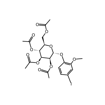 COc1cc(I)ccc1O[C@H]1O[C@H](COC(C)=O)[C@@H](OC(C)=O)[C@H](OC(C)=O)[C@@H]1OC(C)=O